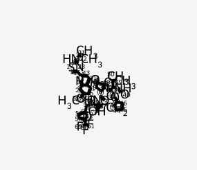 C=C[C@@H]1C[C@]1(NC(=O)[C@@H]1C[C@@H](Oc2cc(-c3csc(NC(C)C)n3)nc3cc(OC)ccc23)CN1C(=O)C(NC(=O)OC1CCCC1)C(C)(C)C)P(=O)(O)Cc1ccc(C(F)(F)F)o1